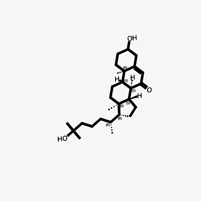 C[C@H](CCCC(C)(C)O)[C@H]1CC[C@H]2[C@@H]3C(=O)C=C4CC(O)CC[C@]4(C)[C@H]3CC[C@]12C